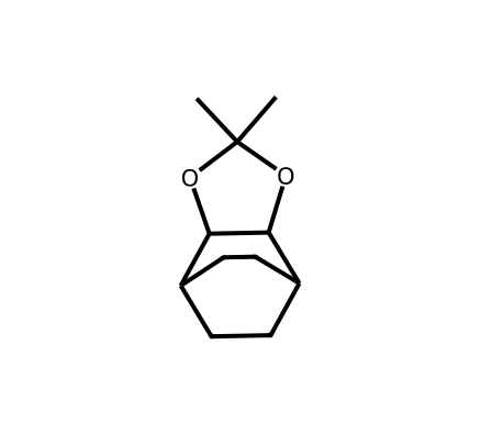 CC1(C)OC2C3CCC(CC3)C2O1